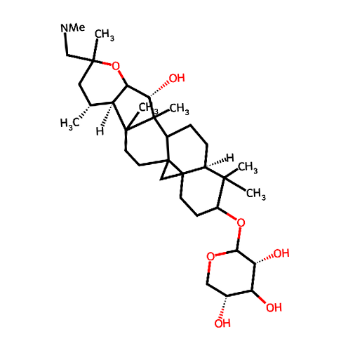 CNCC1(C)C[C@@H](C)[C@H]2C(O1)[C@H](O)C1(C)C3CC[C@H]4C(C)(C)C(OC5OC[C@@H](O)C(O)[C@H]5O)CCC45CC35CCC21C